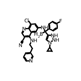 BC(Nc1cc(Cl)c2ncc(C#N)c(NCCc3cccnc3)c2c1)(C1=CN(C2CC2)NN1)c1ccc(F)cc1